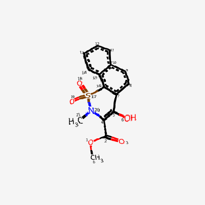 COC(=O)C1=C(O)c2ccc3ccccc3c2S(=O)(=O)N1C